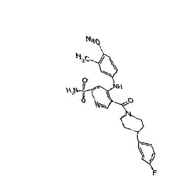 COc1ccc(Nc2cc(S(N)(=O)=O)ncc2C(=O)N2CCC(c3ccc(F)cc3)CC2)cc1C